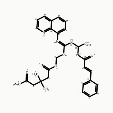 COC(=O)CC(C)(C)CC(=O)OCS/C(=N/c1cccc2cccnc12)NC(NC(=O)/C=C/c1ccccc1)C(Cl)(Cl)Cl